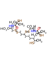 CC(S)CCCCC(CCSSCC(NC(=O)C(C)(C)S)C(=O)O)SSCC(NC(=O)C(C)(C)S)C(=O)O